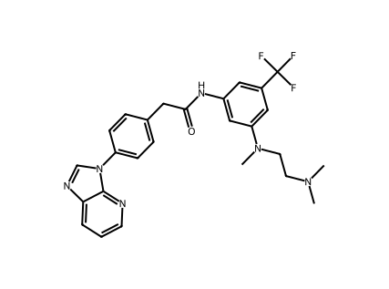 CN(C)CCN(C)c1cc(NC(=O)Cc2ccc(-n3cnc4cccnc43)cc2)cc(C(F)(F)F)c1